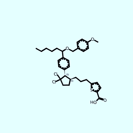 CCCCCC(OCc1ccc(OC)cc1)c1ccc([C@@H]2[C@@H](CCCc3ccc(C(=O)O)s3)CCC2(Cl)Cl)cc1